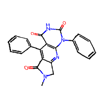 CN1Cc2nc3c(c(-c4ccccc4)c2C1=O)c(=O)[nH]c(=O)n3-c1ccccc1